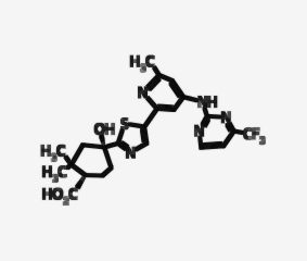 Cc1cc(Nc2nccc(C(F)(F)F)n2)cc(-c2cnc([C@]3(O)CC[C@@H](C(=O)O)C(C)(C)C3)s2)n1